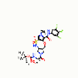 Cn1cc2c(c1C(=O)Nc1cc(F)c(F)c(F)c1)OCC1CN(C(=O)[C@H](CO)NC(=O)OC(C)(C)C)CC1NS2(=O)=O